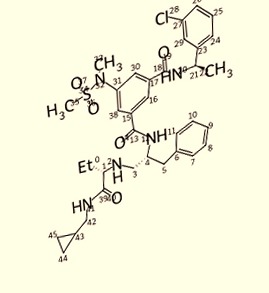 CC[C@H](NC[C@@H](Cc1ccccc1)NC(=O)c1cc(C(=O)N[C@H](C)c2cccc(Cl)c2)cc(N(C)S(C)(=O)=O)c1)C(=O)NCC1CC1